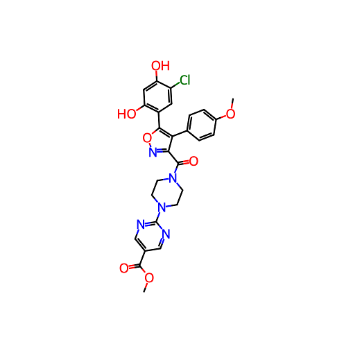 COC(=O)c1cnc(N2CCN(C(=O)c3noc(-c4cc(Cl)c(O)cc4O)c3-c3ccc(OC)cc3)CC2)nc1